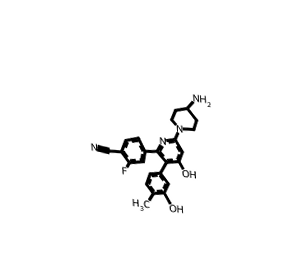 Cc1ccc(-c2c(O)cc(N3CCC(N)CC3)nc2-c2ccc(C#N)c(F)c2)cc1O